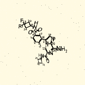 Cc1ccc(S(=O)(=O)NC2CC(F)(F)C2)cc1-c1cnc2c(N)nc(C(=O)NC3CCC3)cn12